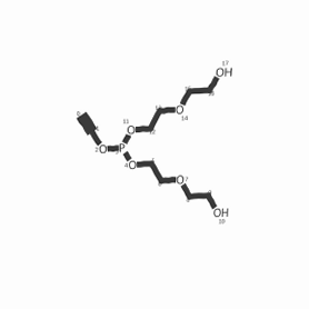 C#COP(OCCOCCO)OCCOCCO